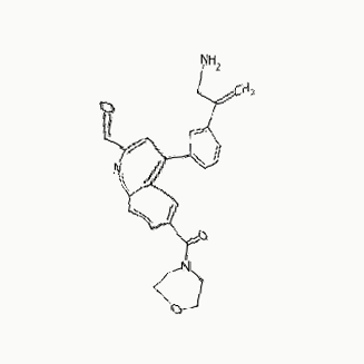 C=C(CN)c1cccc(-c2cc(C=O)nc3ccc(C(=O)N4CCOCC4)cc23)c1